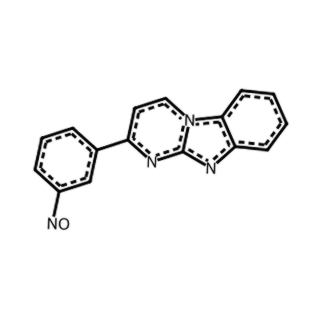 O=Nc1cccc(-c2ccn3c(n2)nc2ccccc23)c1